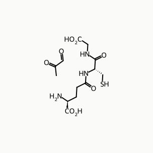 CC(=O)C=O.N[C@@H](CCC(=O)N[C@@H](CS)C(=O)NCC(=O)O)C(=O)O